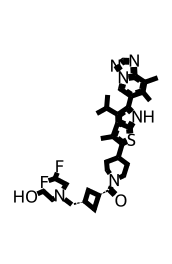 Cc1c(-c2[nH]c3sc(C4CCN(C(=O)[C@H]5C[C@@H](CN(CCO)CC(F)F)C5)CC4)c(C)c3c2C(C)C)cn2ncnc2c1C